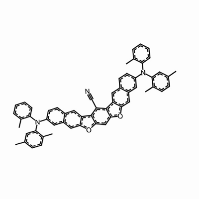 Cc1ccc(C)c(N(c2ccc3cc4c(cc3c2)oc2cc3oc5cc6cc(N(c7ccccc7C)c7cc(C)ccc7C)ccc6cc5c3c(C#N)c24)c2ccccc2C)c1